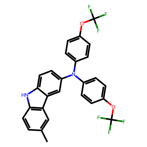 Cc1ccc2[nH]c3ccc(N(c4ccc(OC(F)(F)F)cc4)c4ccc(OC(F)(F)F)cc4)cc3c2c1